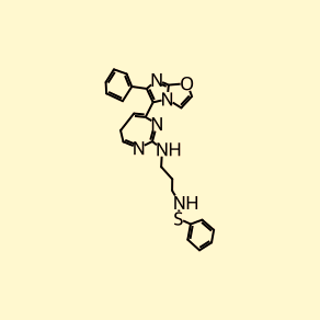 C1=NC(NCCCNSc2ccccc2)=NC(c2c(-c3ccccc3)nc3occn23)=CC1